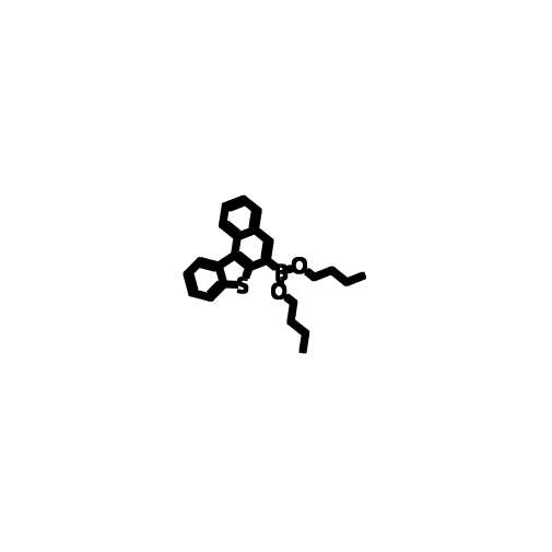 CCCCOB(OCCCC)c1cc2ccccc2c2c1sc1ccccc12